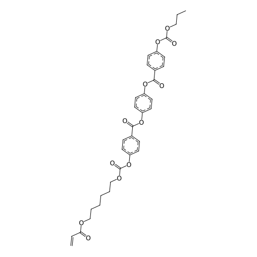 C=CC(=O)OCCCCCCOC(=O)Oc1ccc(C(=O)Oc2ccc(OC(=O)c3ccc(OC(=O)OCCC)cc3)cc2)cc1